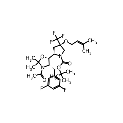 CC(=O)N1[C@@H](Cc2cc(F)cc(F)c2)[C@@H]([C@H]2C[C@](OCC=C(C)C)(C(F)(F)F)CN2C(=O)OC(C)(C)C)OC1(C)C